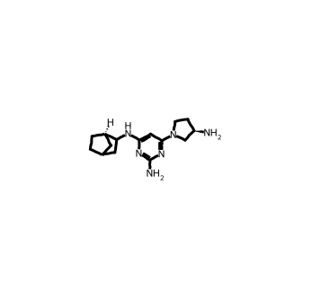 Nc1nc(NC2CC3CC[C@@H]2C3)cc(N2CC[C@@H](N)C2)n1